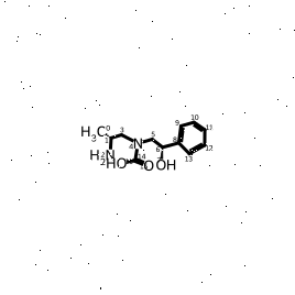 C[C@@H](N)CN(C[C@H](O)c1ccccc1)C(=O)O